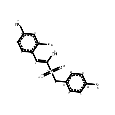 N#CC(=Cc1ccc(C#N)cc1F)S(=O)(=O)Cc1ccc(Br)cc1